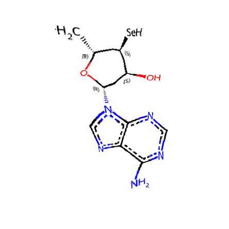 [CH2][C@H]1O[C@@H](n2cnc3c(N)ncnc32)[C@H](O)[C@@H]1[SeH]